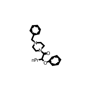 CCCC(Oc1ccccc1)C(=O)N1CCN(Cc2ccccc2)CC1